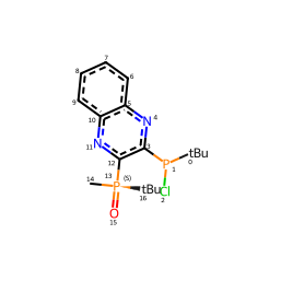 CC(C)(C)P(Cl)c1nc2ccccc2nc1[P@@](C)(=O)C(C)(C)C